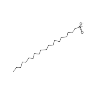 CCCCCCCCCCCCCCCCCCCC[N+](=O)[O-]